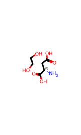 N[C@@H](CC(=O)O)C(=O)O.OCCO